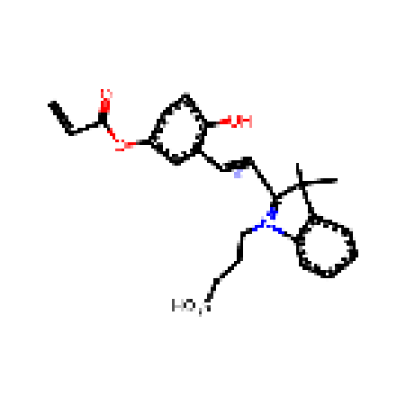 C=CC(=O)Oc1ccc(O)c(/C=C/C2=[N+](CCCS(=O)(=O)O)c3ccccc3C2(C)C)c1